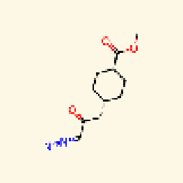 COC(=O)[C@H]1CC[C@H](CC(=O)C=[N+]=[N-])CC1